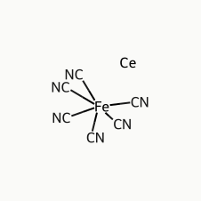 N#[C][Fe]([C]#N)([C]#N)([C]#N)([C]#N)[C]#N.[Ce]